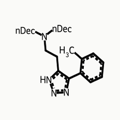 CCCCCCCCCCN(CCCCCCCCCC)CCc1[nH]nnc1-c1ccccc1C